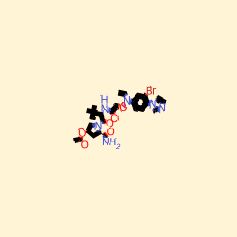 CCN(OCC(=O)N[C@H](C(=O)N1C[C@H](OC(C)=O)C[C@H]1C(N)=O)C(C)(C)C)c1ccc(-n2ccnc2)c(Br)c1